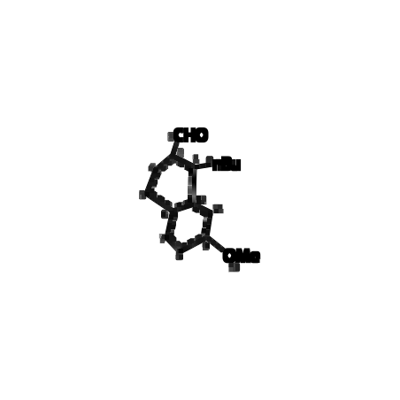 CCCCc1c(C=O)ccc2ccc(OC)cc12